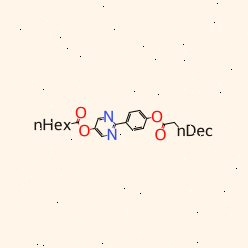 CCCCCCCCCCCC(=O)Oc1ccc(-c2ncc(OC(=O)CCCCCC)cn2)cc1